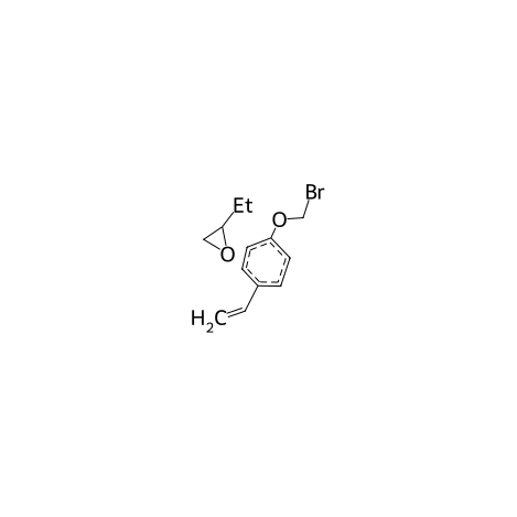 C=Cc1ccc(OCBr)cc1.CCC1CO1